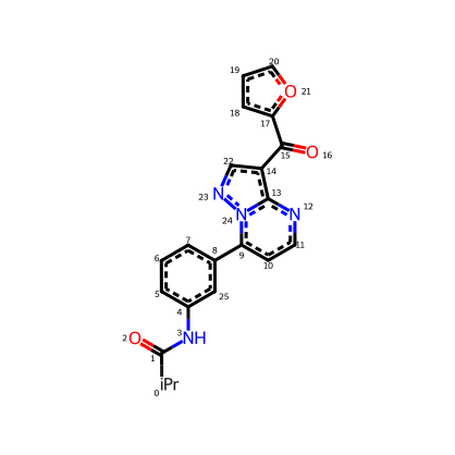 CC(C)C(=O)Nc1cccc(-c2ccnc3c(C(=O)c4ccco4)cnn23)c1